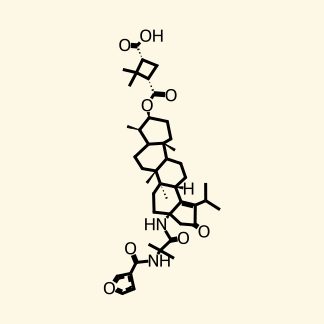 CC(C)C1=C2[C@H]3CCC4[C@@]5(C)CC[C@H](OC(=O)[C@H]6C[C@@H](C(=O)O)C6(C)C)[C@H](C)C5CC[C@@]4(C)[C@]3(C)CC[C@@]2(NC(=O)C(C)(C)NC(=O)c2ccoc2)CC1=O